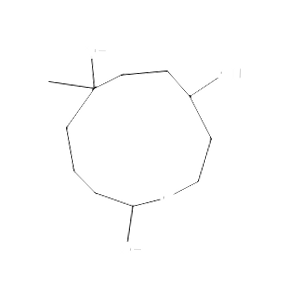 CC1(O)CCCC(O)CCCC(O)CC1